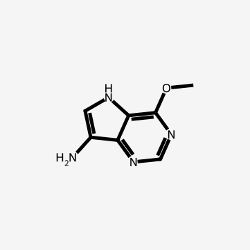 COc1ncnc2c(N)c[nH]c12